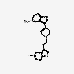 N#Cc1ccc2[nH]cc(C3=CCN(CCc4coc5ccc(F)cc45)CC3)c2c1